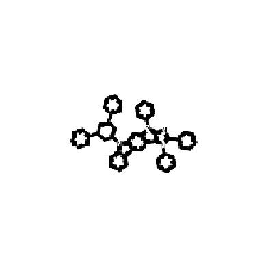 C1=C(c2ccccc2)C=C(n2c3ccccc3c3cc4c5c(nc(-c6ccccc6)n5-c5ccccc5)n(-c5ccccc5)c4cc32)CC1c1ccccc1